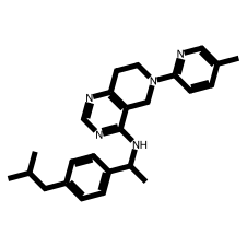 Cc1ccc(N2CCc3ncnc(NC(C)c4ccc(CC(C)C)cc4)c3C2)nc1